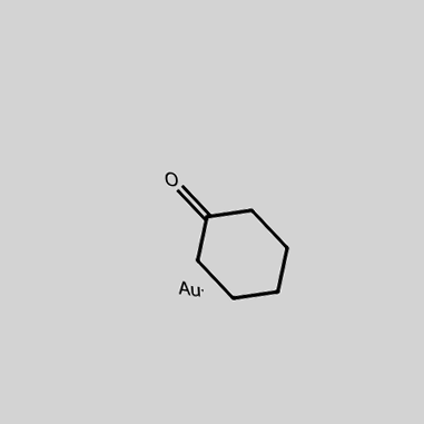 O=C1CCCCC1.[Au]